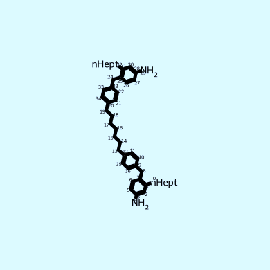 CCCCCCCc1cc(N)ccc1Cc1ccc(CCCCCCCc2ccc(Cc3ccc(N)cc3CCCCCCC)cc2)cc1